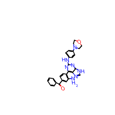 Nc1cc(C(=O)c2ccccc2)ccc1-c1nc(Nc2ccc(N3CCOCC3)cc2)nc2[nH]cnc12